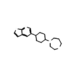 c1cc2cc(C3CCC(N4CCCOCC4)CC3)cnc2[nH]1